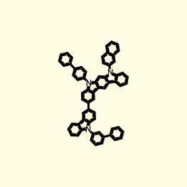 c1ccc(-c2ccc(-n3c4ccc(-c5ccc6c(c5)c5ccccc5n6-c5cccc(-c6ccccc6)c5)cc4c4cc5c6ccccc6n(-c6ccc7ccccc7c6)c5cc43)cc2)cc1